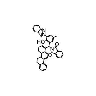 Cc1cc(C(C2=CCCc3c2ccc2c3CCc3ccccc3-2)N2C(=O)c3ccccc3C2=O)c(O)c(-n2nc3ccccc3n2)c1